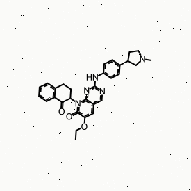 CCOc1cc2cnc(Nc3ccc(C4CCN(C)C4)cc3)nc2n(C2CCc3ccccc3C2=O)c1=O